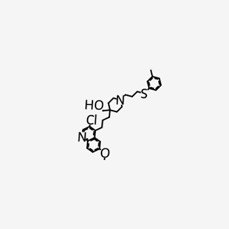 COc1ccc2ncc(Cl)c(CCCC3(CO)CCN(CCCSc4cccc(C)c4)CC3)c2c1